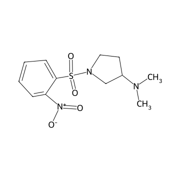 CN(C)C1CCN(S(=O)(=O)c2ccccc2[N+](=O)[O-])C1